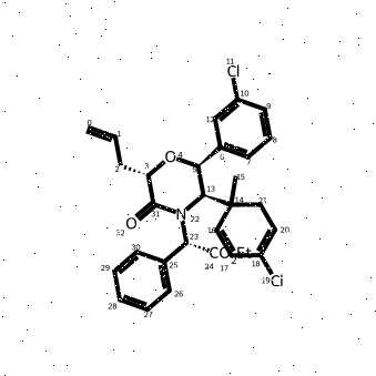 C=CC[C@@H]1O[C@@H](c2cccc(Cl)c2)[C@@H](C2(C)C=CC(Cl)=CC2)N([C@H](C(=O)OCC)c2ccccc2)C1=O